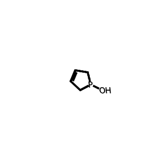 OP1CC=CC1